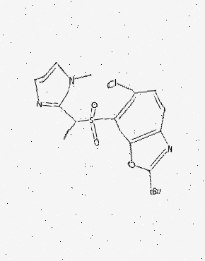 CC(c1nccn1C)S(=O)(=O)c1c(Cl)ccc2nc(C(C)(C)C)oc12